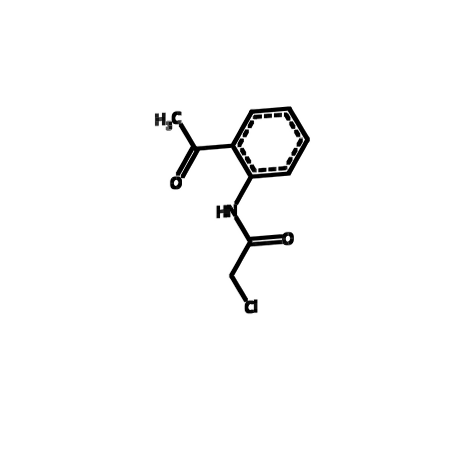 CC(=O)c1ccccc1NC(=O)CCl